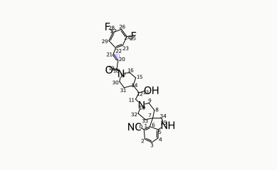 N#Cc1cccc2c1C1(CCN(CC(O)C3CCN(C(=O)/C=C/c4cc(F)cc(F)c4)CC3)CC1)CN2